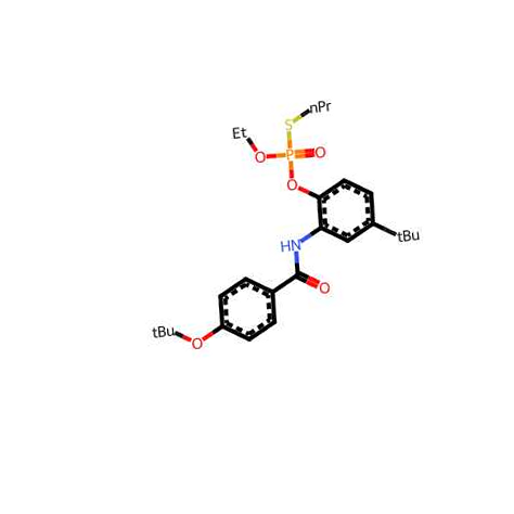 CCCSP(=O)(OCC)Oc1ccc(C(C)(C)C)cc1NC(=O)c1ccc(OC(C)(C)C)cc1